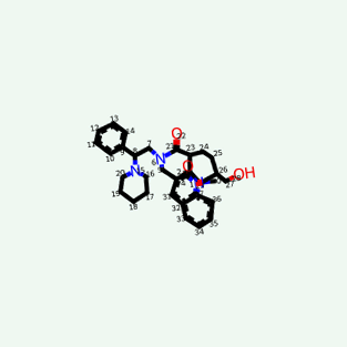 Cn1c(=O)c(CN(CC(c2ccccc2)N2CCCCC2)C(=O)C2CCC(CO)CC2)cc2ccccc21